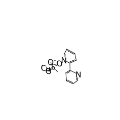 CS(=O)(=O)[O-].[Cu+].c1ccc(-c2ccccn2)nc1